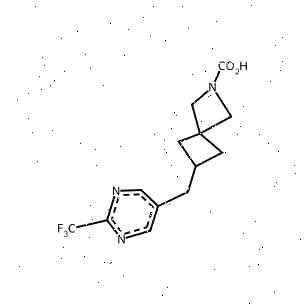 O=C(O)N1CC2(CC(Cc3cnc(C(F)(F)F)nc3)C2)C1